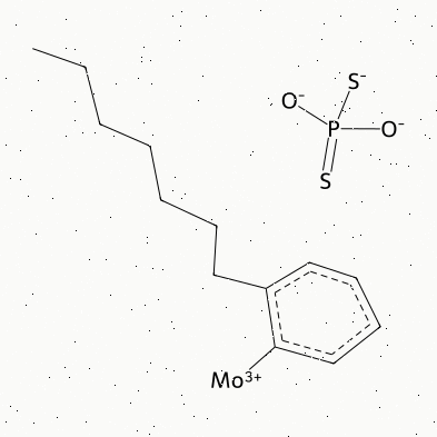 CCCCCCCc1cccc[c]1[Mo+3].[O-]P([O-])(=S)[S-]